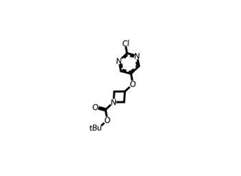 CC(C)(C)OC(=O)N1CC(Oc2cnc(Cl)nc2)C1